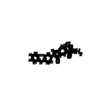 NS(=O)(=O)c1cc2c(cc1Cl)CN(C1CCN(Cc3ccccc3)CC1)C2=O